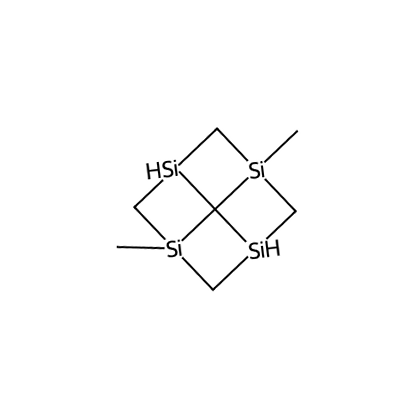 C[Si]12C[SiH]3C[Si]4(C)C[SiH](C1)C324